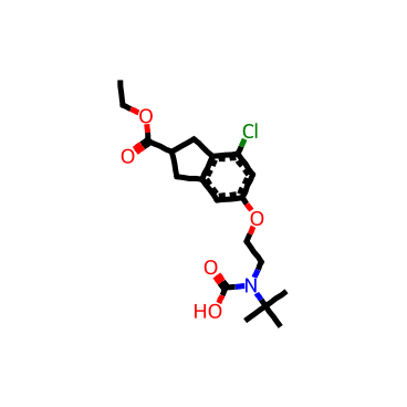 CCOC(=O)C1Cc2cc(OCCN(C(=O)O)C(C)(C)C)cc(Cl)c2C1